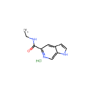 Cl.O=C(NCC(F)(F)F)c1cc2cc[nH]c2cn1